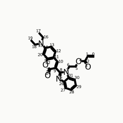 C=CC(=O)OCCn1c(-c2cc3ccc(N(CC)CC)cc3oc2=O)nc2ccccc21